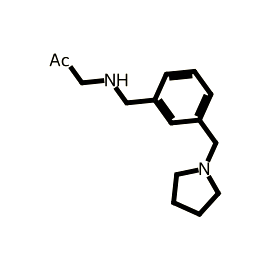 CC(=O)CNCc1cccc(CN2CCCC2)c1